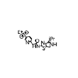 CCS(=O)(=O)c1ccc(CC(=O)Nc2nc3c(s2)CN[C@H]3C(C)C)nc1